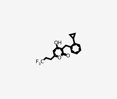 O=c1oc(CCC(F)(F)F)cc(O)c1Cc1ccccc1C1CC1